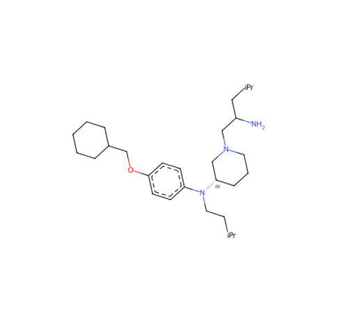 CC(C)CCN(c1ccc(OCC2CCCCC2)cc1)[C@H]1CCCN(CC(N)CC(C)C)C1